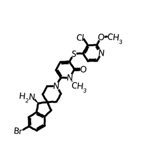 COc1nccc(Sc2ccc(N3CCC4(CC3)Cc3ccc(Br)cc3[C@H]4N)n(C)c2=O)c1Cl